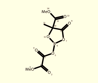 COC(=O)C(=O)OB1OC(=O)C(C)(C(=O)OC)O1